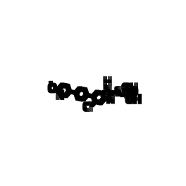 COc1ccc(-c2ccc(-c3cc4[nH]c(SCP(=O)(O)O)nc4cc3Cl)cc2)cn1